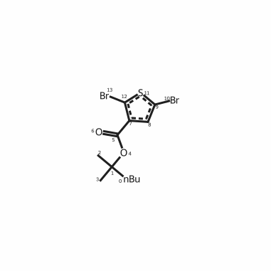 CCCCC(C)(C)OC(=O)c1cc(Br)sc1Br